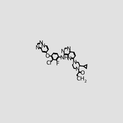 C=CC(=O)N1CCN(c2ccc3ncnc(Nc4ccc(Oc5ccn6ncnc6c5)c(Cl)c4F)c3n2)CC1C1CC1